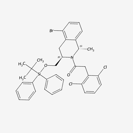 C[C@H]1c2cccc(Br)c2C[C@H](CO[Si](c2ccccc2)(c2ccccc2)C(C)(C)C)N1C(=O)Cc1c(Cl)cccc1Cl